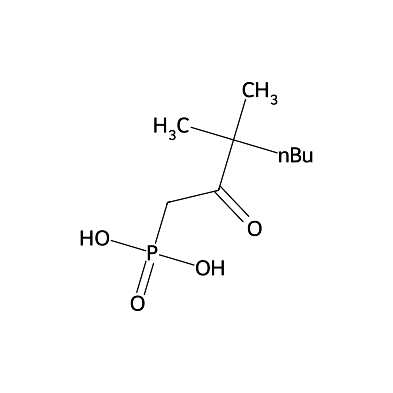 CCCCC(C)(C)C(=O)CP(=O)(O)O